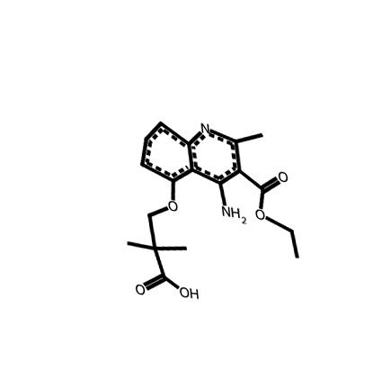 CCOC(=O)c1c(C)nc2cccc(OCC(C)(C)C(=O)O)c2c1N